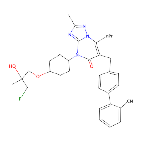 CCCc1c(Cc2ccc(-c3ccccc3C#N)cc2)c(=O)n(C2CCC(OCC(C)(O)CF)CC2)c2nc(C)nn12